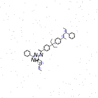 C=C(/C=C\C=C/C)C(=N/C(=C)c1ccc(C(CC)(CC)c2ccc(/C(C)=C/C(=C\C)c3ccccc3)cc2)cc1)/N=C(\N)c1ccccc1